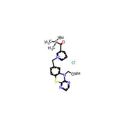 COCN1c2cc(C[n+]3cccc(C(=O)[Si](C)(C)C(C)(C)C)c3)ccc2Sc2nccnc21.[Cl-]